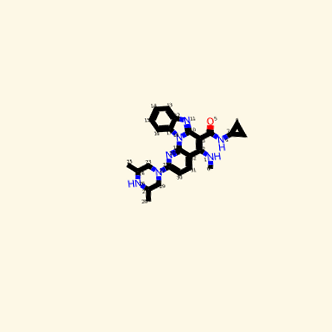 CNc1c(C(=O)NC2CC2)c2nc3ccccc3n2c2nc(N3CC(C)NC(C)C3)ccc12